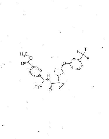 COC(=O)c1ccc(C(C)NC(=O)C2(N3CC[C@@H](Oc4cccc(C(F)(F)F)c4)C3)CC2)cc1